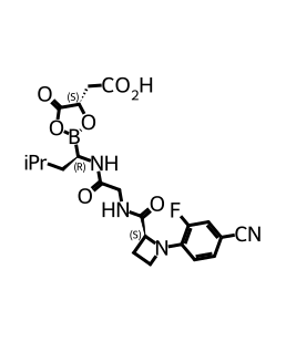 CC(C)C[C@H](NC(=O)CNC(=O)[C@@H]1CCN1c1ccc(C#N)cc1F)B1OC(=O)[C@H](CC(=O)O)O1